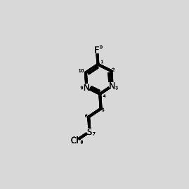 Fc1cnc(CCSCl)nc1